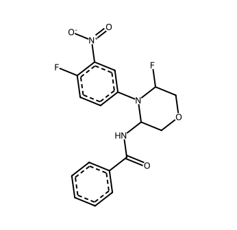 O=C(NC1COCC(F)N1c1ccc(F)c([N+](=O)[O-])c1)c1ccccc1